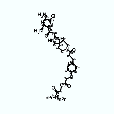 CCCN(CCC)C(=O)COC(=O)COc1ccc(CCC(=O)N2CCC3(CC2)CN/C(=N\C(=O)c2nc(Cl)c(N)nc2N)N3)cc1